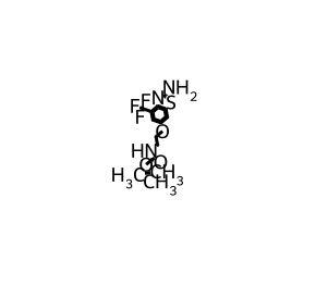 CC(C)(C)OC(=O)NCCOc1cc(C(F)(F)F)c2nc(N)sc2c1